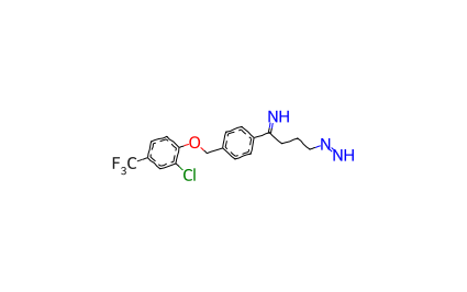 N=NCCCC(=N)c1ccc(COc2ccc(C(F)(F)F)cc2Cl)cc1